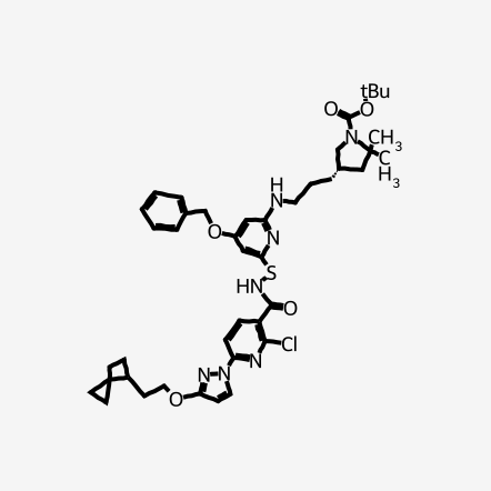 CC(C)(C)OC(=O)N1C[C@@H](CCCNc2cc(OCc3ccccc3)cc(SNC(=O)c3ccc(-n4ccc(OCCC5CCC56CC6)n4)nc3Cl)n2)CC1(C)C